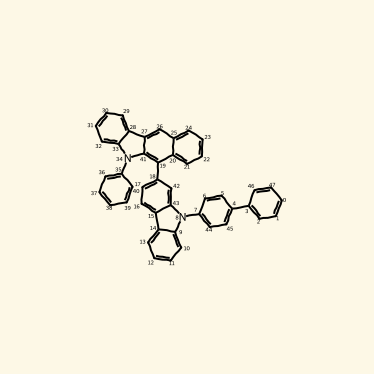 c1ccc(-c2ccc(-n3c4ccccc4c4ccc(-c5c6ccccc6cc6c7ccccc7n(-c7ccccc7)c56)cc43)cc2)cc1